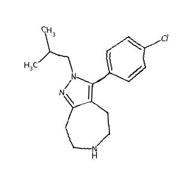 CC(C)Cn1nc2c(c1-c1ccc(Cl)cc1)CCNCC2